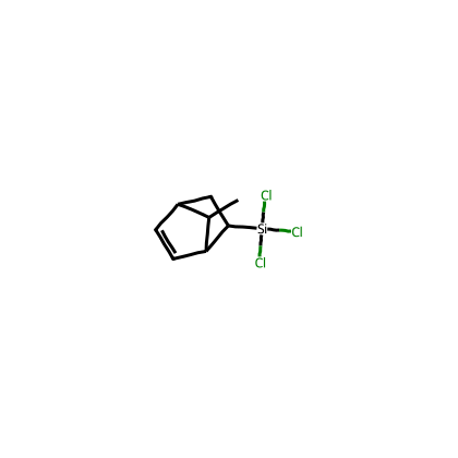 CC1C2C=CC1C([Si](Cl)(Cl)Cl)C2